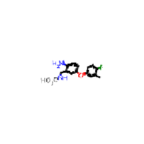 Cc1cc(Oc2ccc(N)c(CNC(=O)O)c2)ccc1F